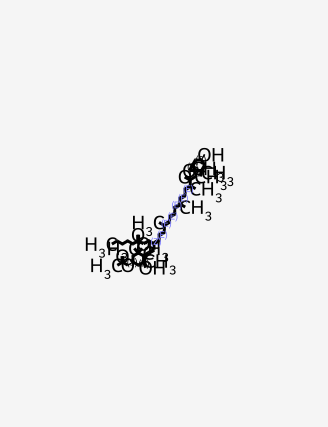 CCCCCC(=O)OC\C(C=C=C1C(C)(C)C[C@H](OC(C)=O)C[C@@]1(C)O)=C/C=C/C(C)=C/C=C/C=C(C)/C=C/C=C(\C)C(=O)C[C@@]12O[C@]1(C)C[C@@H](O)CC2(C)C